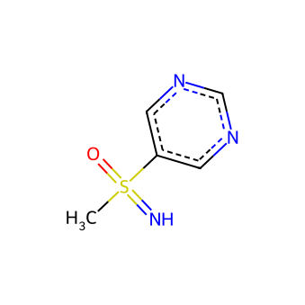 CS(=N)(=O)c1cncnc1